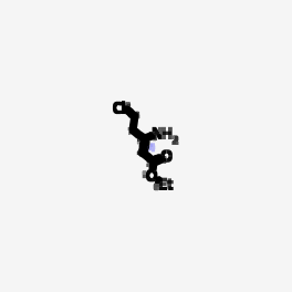 CCOC(=O)/C=C(\N)CCCl